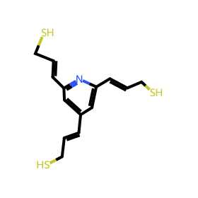 SCC=Cc1cc(C=CCS)nc(C=CCS)c1